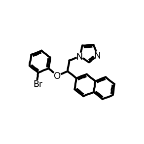 Brc1ccccc1OC(Cn1ccnc1)c1ccc2ccccc2c1